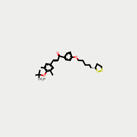 Cc1cc(C=CC(=O)c2ccc(OCCCCC[C@@H]3CCSS3)cc2)cc(C)c1OC(C)(C)C(=O)O